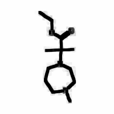 CCOC(=O)C(C)(C)N1CCCN(C)CC1